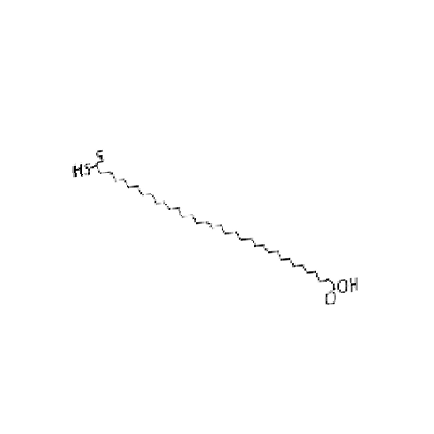 O=C(O)CCCCCCCCCCCCCCCCCCCCCCCCCCCCCCCCCCC(=S)S